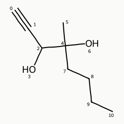 C#CC(O)C(C)(O)CCCC